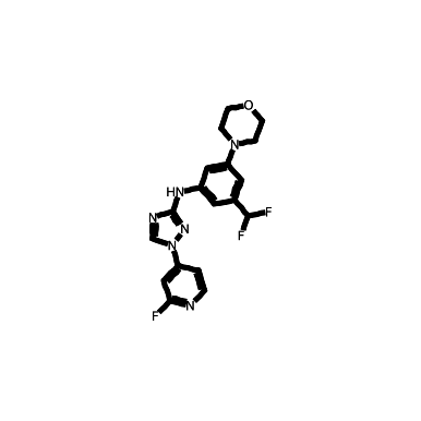 Fc1cc(-n2cnc(Nc3cc(C(F)F)cc(N4CCOCC4)c3)n2)ccn1